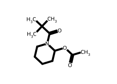 CC(=O)OC1CCCCN1C(=O)C(C)(C)C